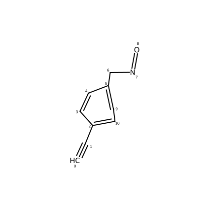 C#Cc1ccc(CN=O)cc1